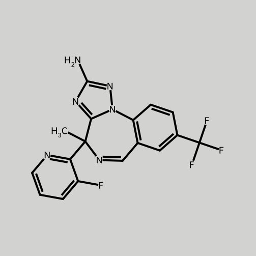 CC1(c2ncccc2F)N=Cc2cc(C(F)(F)F)ccc2-n2nc(N)nc21